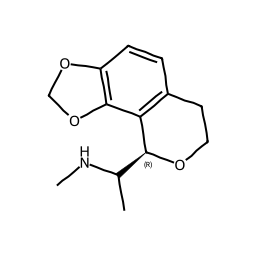 CNC(C)[C@@H]1OCCc2ccc3c(c21)OCO3